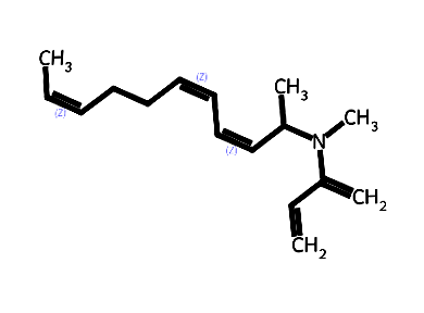 C=CC(=C)N(C)C(C)/C=C\C=C/CC/C=C\C